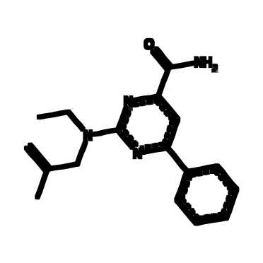 C=C(C)CN(CC)c1nc(C(N)=O)cc(-c2ccccc2)n1